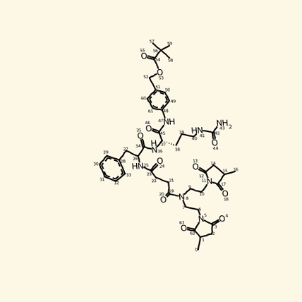 CC1CC(=O)N(CCN(CCN2C(=O)CC(C)C2=O)C(=O)CCC(=O)NC(Cc2ccccc2)C(=O)N[C@@H](CCCNC(N)=O)C(=O)Nc2ccc(COC(=O)C(C)(C)C)cc2)C1=O